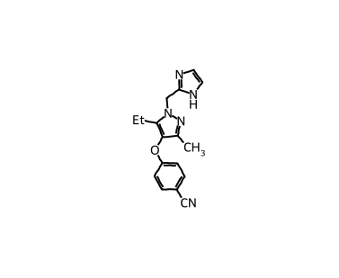 CCc1c(Oc2ccc(C#N)cc2)c(C)nn1Cc1ncc[nH]1